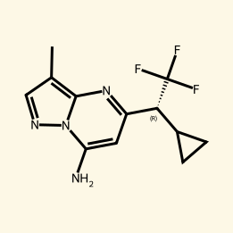 Cc1cnn2c(N)cc([C@@H](C3CC3)C(F)(F)F)nc12